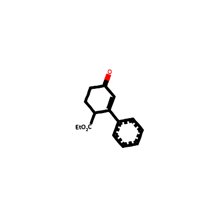 CCOC(=O)C1CCC(=O)C=C1c1ccccc1